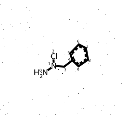 NN(Cl)Cc1ccccc1